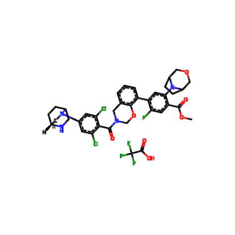 COC(=O)c1cc(F)c(-c2cccc3c2OCN(C(=O)c2c(Cl)cc(N4C[C@H]5CCC4CN5)cc2Cl)C3)cc1N1C2CCC1COC2.O=C(O)C(F)(F)F